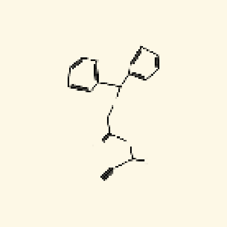 C#CC(CC)OC(=O)COC(c1ccccc1)c1ccccc1